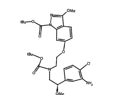 COc1nn(C(=O)OC(C)(C)C)c2cc(OCCN(C[C@H](OC)c3ccc(Cl)c(N)c3)C(=O)OC(C)(C)C)ccc12